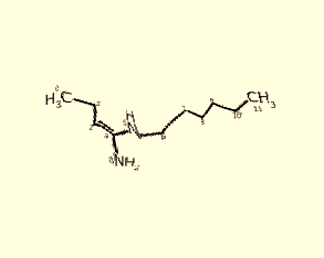 CCC=C(N)NCCCCCC